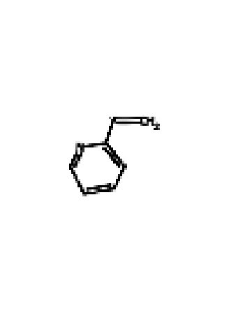 C=[C]c1ccccn1